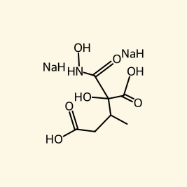 CC(CC(=O)O)C(O)(C(=O)O)C(=O)NO.[NaH].[NaH]